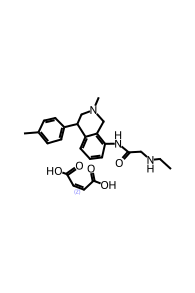 CCNCC(=O)Nc1cccc2c1CN(C)CC2c1ccc(C)cc1.O=C(O)/C=C\C(=O)O